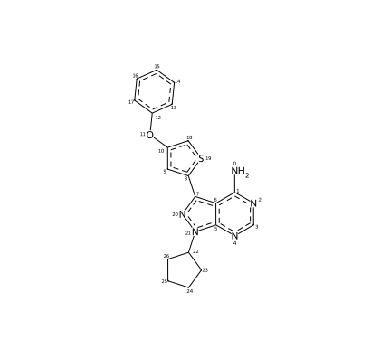 Nc1ncnc2c1c(-c1cc(Oc3ccccc3)cs1)nn2C1CCCC1